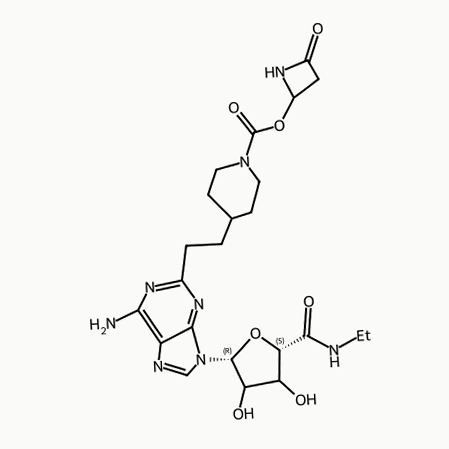 CCNC(=O)[C@H]1O[C@@H](n2cnc3c(N)nc(CCC4CCN(C(=O)OC5CC(=O)N5)CC4)nc32)C(O)C1O